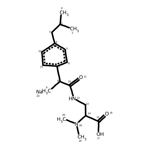 CC(C)Cc1ccc(C(C)C(=O)NCC(C(=O)O)N(C)C)cc1.[Na]